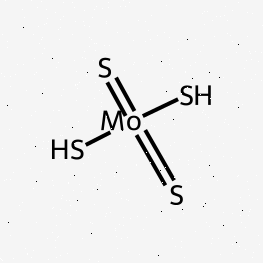 [S]=[Mo](=[S])([SH])[SH]